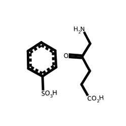 NCC(=O)CCC(=O)O.O=S(=O)(O)c1ccccc1